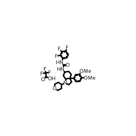 COc1ccc(C23CCC(NC(=O)Nc4ccc(F)c(F)c4F)CC2N(C2CCOCC2)CC3)cc1OC.O=C(O)C(F)(F)F